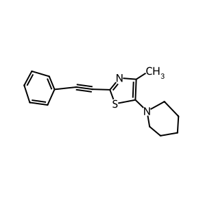 Cc1nc(C#Cc2ccccc2)sc1N1CCCCC1